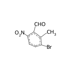 Cc1c(Br)ccc([N+](=O)[O-])c1C=O